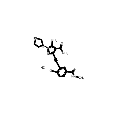 CNC(=O)c1ccc(Cl)c(C#Cc2nn([C@H]3CCNC3)c(N)c2C(N)=O)c1.Cl